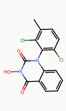 Cc1ccc(Cl)c(-n2c(=O)n(O)c(=O)c3ccccc32)c1Cl